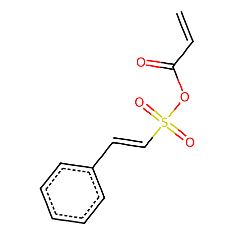 C=CC(=O)OS(=O)(=O)C=Cc1ccccc1